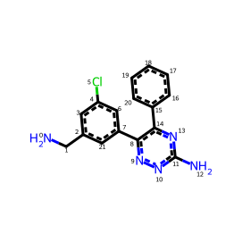 NCc1cc(Cl)cc(-c2nnc(N)nc2-c2ccccc2)c1